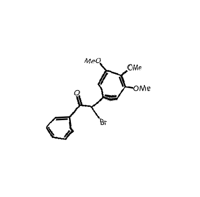 COc1cc(C(Br)C(=O)c2ccccc2)cc(OC)c1OC